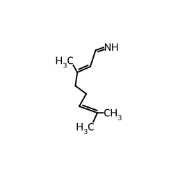 CC(C)=CCCC(C)=CC=N